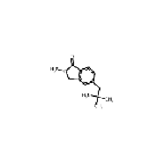 BN1Cc2cc(CC(C)(C)C)ccc2C1=O